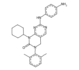 Cc1cccc(C)c1N1Cc2cnc(Nc3ccc(N)cc3)nc2N(C2CCCCC2)C1=O